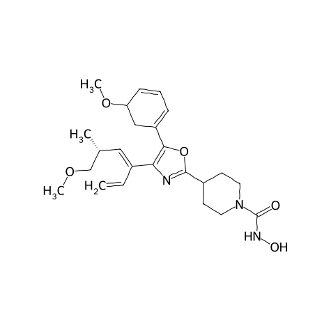 C=C/C(=C\[C@@H](C)COC)c1nc(C2CCN(C(=O)NO)CC2)oc1C1=CC=CC(OC)C1